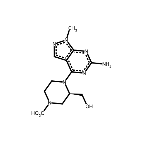 Cn1ncc2c(N3CCN(C(=O)O)C[C@@H]3CO)nc(N)nc21